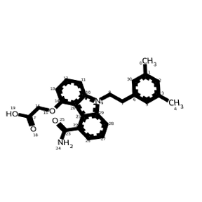 Cc1cc(C)cc(CCn2c3cccc(OCC(=O)O)c3c3c(C(N)=O)cccc32)c1